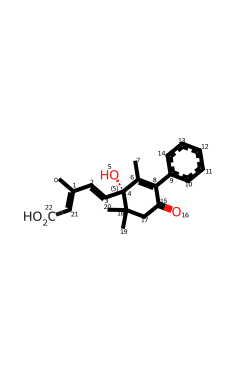 CC(C=C[C@@]1(O)C(C)=C(c2ccccc2)C(=O)CC1(C)C)=CC(=O)O